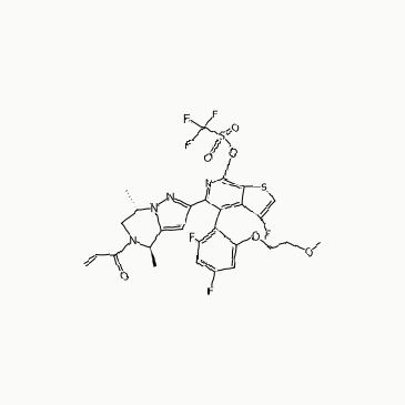 C=CC(=O)N1C[C@H](C)n2nc(-c3nc(OS(=O)(=O)C(F)(F)F)c4scc(F)c4c3-c3c(F)cc(F)cc3OCCOC)cc2[C@H]1C